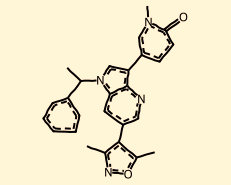 Cc1noc(C)c1-c1cnc2c(-c3ccc(=O)n(C)c3)cn(C(C)c3ccccc3)c2c1